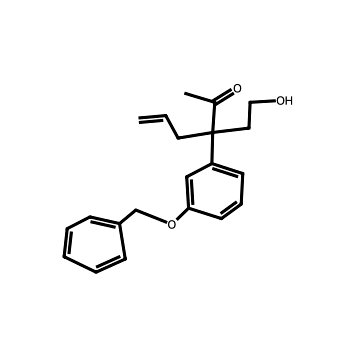 C=CCC(CCO)(C(C)=O)c1cccc(OCc2ccccc2)c1